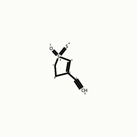 C#CC1=CS(=O)(=S)CC1